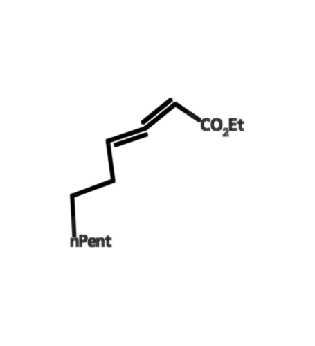 CCCCCCCC=C=CC(=O)OCC